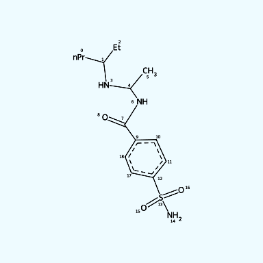 CCCC(CC)NC(C)NC(=O)c1ccc(S(N)(=O)=O)cc1